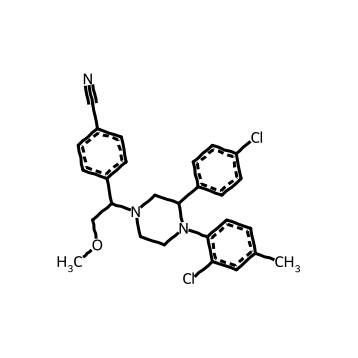 COCC(c1ccc(C#N)cc1)N1CCN(c2ccc(C)cc2Cl)C(c2ccc(Cl)cc2)C1